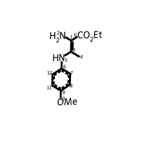 CCOC(=O)/C(N)=C(\C)Nc1ccc(OC)cc1